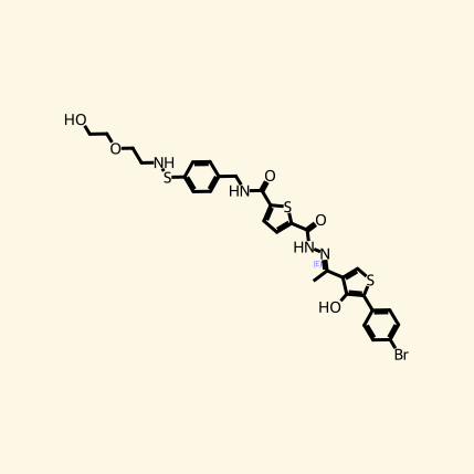 C/C(=N\NC(=O)c1ccc(C(=O)NCc2ccc(SNCCOCCO)cc2)s1)c1csc(-c2ccc(Br)cc2)c1O